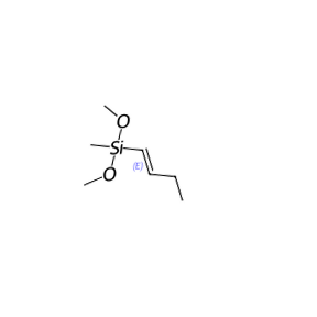 CC/C=C/[Si](C)(OC)OC